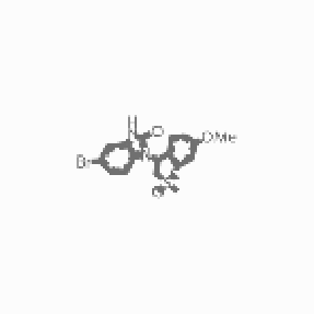 COc1ccc(C(CS(C)(=O)=O)n2c(=O)[nH]c3cc(Br)ccc32)cc1